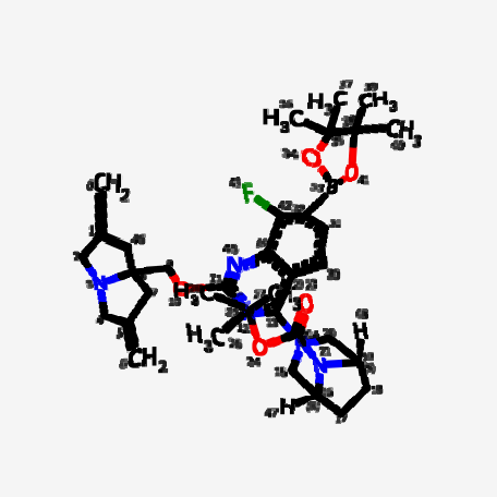 C=C1CN2CC(=C)CC2(COc2nc(N3C[C@H]4CC[C@@H](C3)N4C(=O)OC(C)(C)C)c3ccc(B4OC(C)(C)C(C)(C)O4)c(F)c3n2)C1